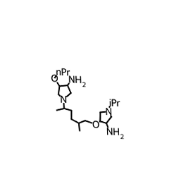 CCCOC1CN(C(C)CCC(C)COC2CN(C(C)C)CC2N)CC1N